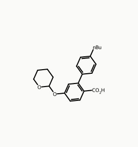 CCCCc1ccc(-c2cc(OC3CCCCO3)ccc2C(=O)O)cc1